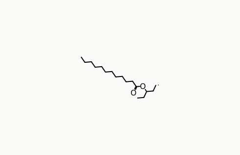 [CH2]CC(CC)OC(=O)CCCCCCCCCCC